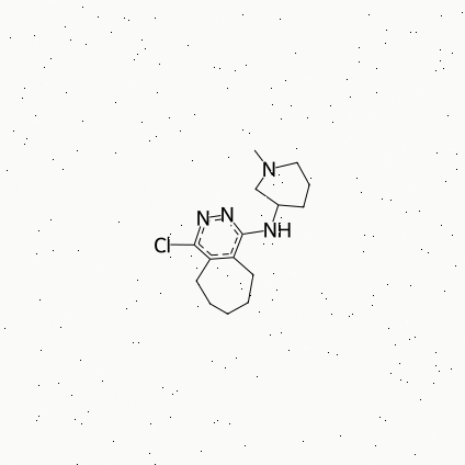 CN1CCCC(Nc2nnc(Cl)c3c2CCCCC3)C1